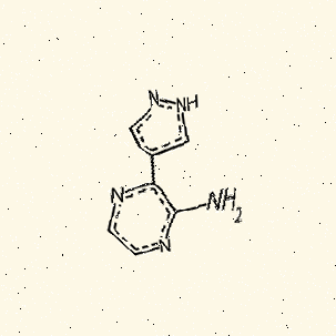 Nc1nccnc1-c1cn[nH]c1